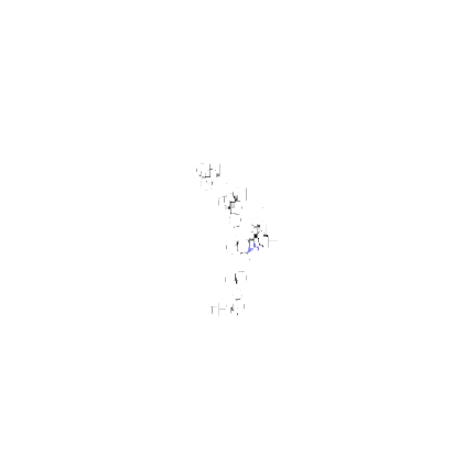 C=CC(=O)OCCCCOCC(COc1ccc(C(=O)Oc2ccc(CCOC(=O)c3ccc(OC(C)(C)C)cc3)cc2/C=N/Nc2nc3ccccc3s2)cc1)OC(=O)C=C